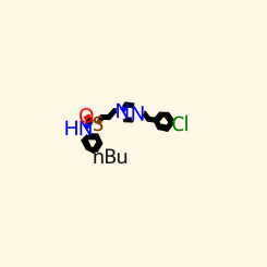 CCCCc1ccc(NC(=O)SCCCN2CCN(CCc3ccc(Cl)cc3)CC2)cc1